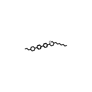 CCCCCCCC1CCC(c2ccc(-c3ccc(C4CCC(CCC)CC4)cc3)cc2)OC1